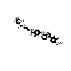 COc1ccc(-c2cnc3c(Nc4ccc(C(=O)NCCCNC(=O)[C@@H]5C[C@](C)(O)CN5)c(C)c4)nccn23)c(F)c1F